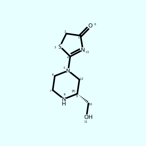 O=C1CSC(N2CCN[C@@H](CO)C2)=N1